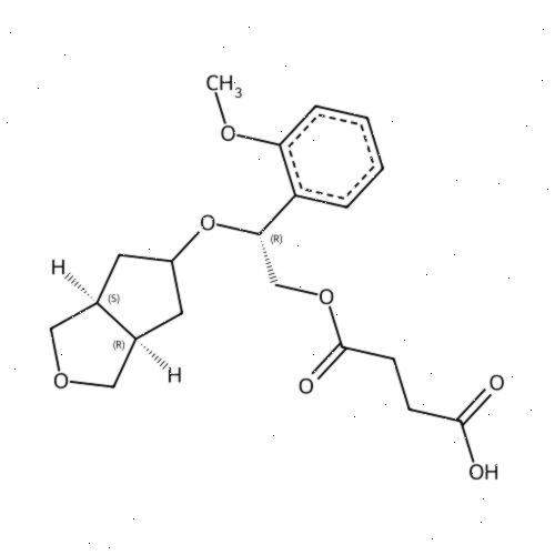 COc1ccccc1[C@H](COC(=O)CCC(=O)O)OC1C[C@H]2COC[C@H]2C1